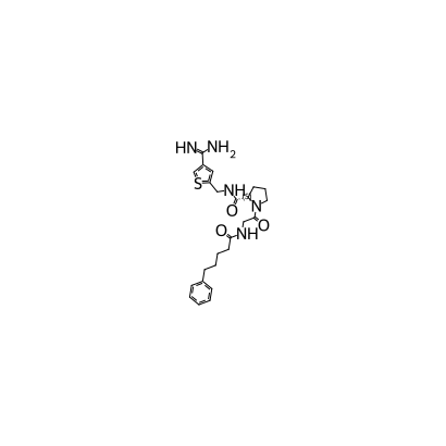 N=C(N)c1csc(CNC(=O)[C@@H]2CCCN2C(=O)CNC(=O)CCCCc2ccccc2)c1